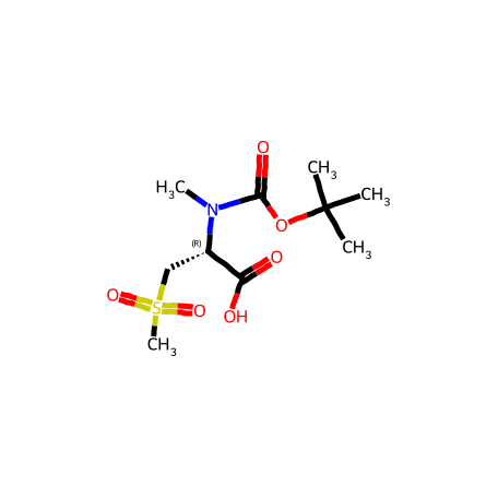 CN(C(=O)OC(C)(C)C)[C@@H](CS(C)(=O)=O)C(=O)O